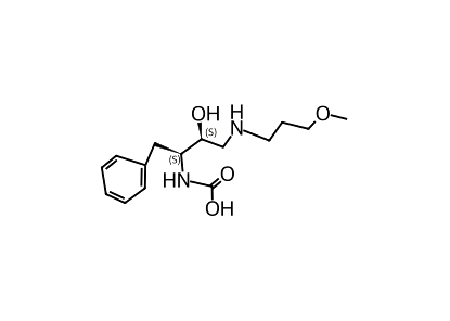 COCCCNC[C@H](O)[C@H](Cc1ccccc1)NC(=O)O